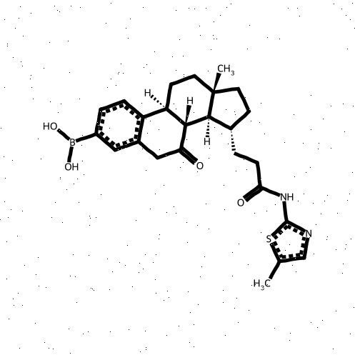 Cc1cnc(NC(=O)CC[C@H]2CC[C@@]3(C)CC[C@@H]4c5ccc(B(O)O)cc5CC(=O)[C@H]4[C@H]23)s1